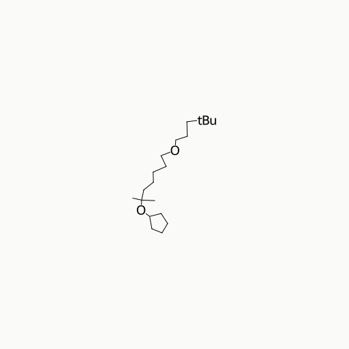 CC(C)(C)CCCOCCCCCC(C)(C)OC1CCCC1